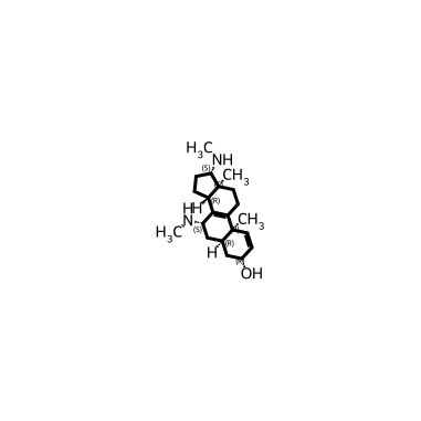 CN[C@H]1C[C@@H]2C[C@@H](O)C=C[C@]2(C)C2=C1[C@@H]1CC[C@H](NC)[C@@]1(C)CC2